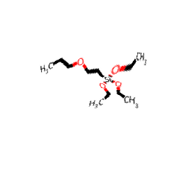 CCCOCC[Si](OCC)(OCC)OCC